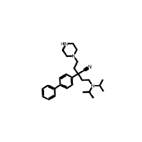 CC(C)N(CCC(C#N)(CCN1CCNCC1)c1ccc(-c2ccccc2)cc1)C(C)C